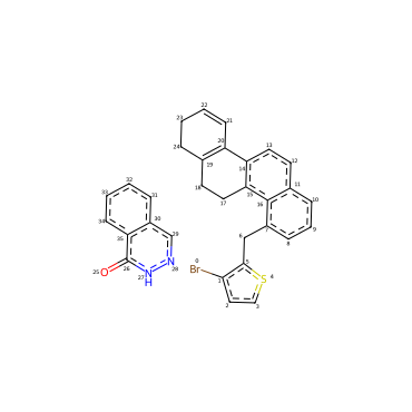 Brc1ccsc1Cc1cccc2ccc3c(c12)CCC1=C3C=CCC1.O=c1[nH]ncc2ccccc12